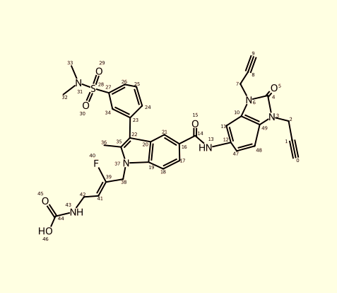 C#CCn1c(=O)n(CC#C)c2cc(NC(=O)c3ccc4c(c3)c(-c3cccc(S(=O)(=O)N(C)C)c3)c(C)n4CC(F)=CCNC(=O)O)ccc21